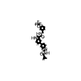 O=C(NCc1cccc(OC(F)(F)F)c1)c1c[nH]c2ccc(-c3ccc4nc(NC(=O)C5CC5)sc4c3)cc12